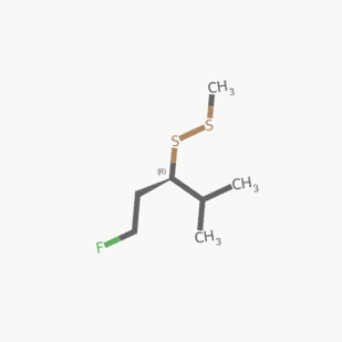 CSS[C@H](CCF)C(C)C